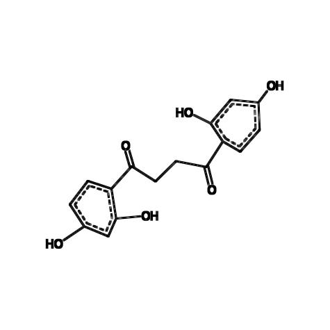 O=C(CCC(=O)c1ccc(O)cc1O)c1ccc(O)cc1O